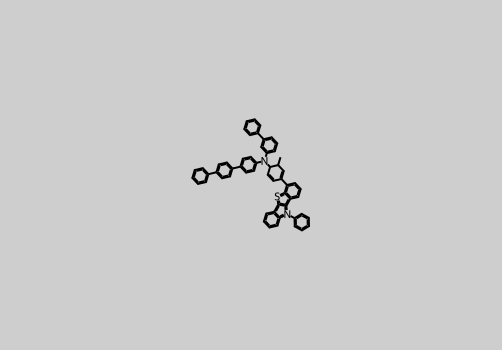 CC1C=C(c2cccc3c2sc2c4ccccc4n(-c4ccccc4)c32)C=CC1N(c1ccc(-c2ccc(-c3ccccc3)cc2)cc1)c1cccc(-c2ccccc2)c1